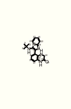 CC(C)(C)Nc1c(-c2cccc3c2NCC(=O)N3)nc2ccccn12